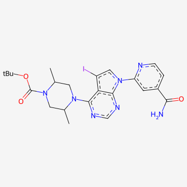 CC1CN(c2ncnc3c2c(I)cn3-c2cc(C(N)=O)ccn2)C(C)CN1C(=O)OC(C)(C)C